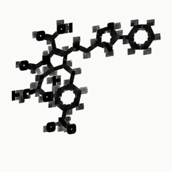 C[C@H](O)[C@@H]1C(=O)N2C(C(=O)O)=C(SCc3csc(-c4ccccc4)n3)C(Cc3ccc([N+](=O)[O-])cc3)[C@@H]12